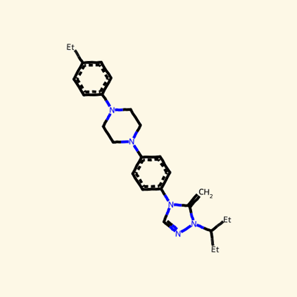 C=C1N(c2ccc(N3CCN(c4ccc(CC)cc4)CC3)cc2)C=NN1C(CC)CC